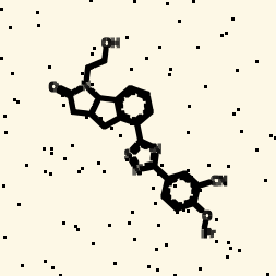 CC(C)Oc1ccc(-c2nsc(-c3cccc4c3CC3CC(=O)N(CCO)C43)n2)cc1C#N